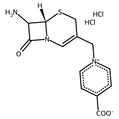 Cl.Cl.NC1C(=O)N2C=C(C[n+]3ccc(C(=O)[O-])cc3)CS[C@@H]12